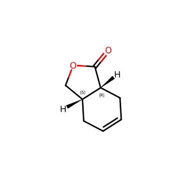 O=C1OC[C@H]2CC=CC[C@@H]12